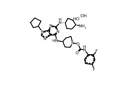 Cl.Cl.N[C@H]1CC[C@H](Nc2nc(NC3CCN(OC(=O)Nc4ccc(F)cc4F)CC3)c3ncn(C4CCCC4)c3n2)CC1